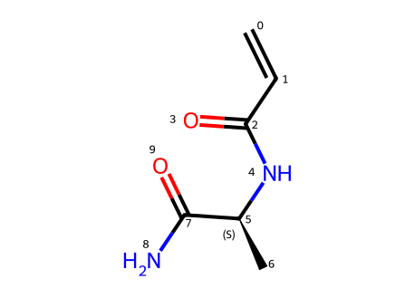 C=CC(=O)N[C@@H](C)C(N)=O